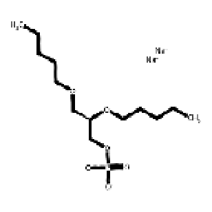 CCCCCOC[C@H](COP(=O)([O-])[O-])OCCCCC.[Na+].[Na+]